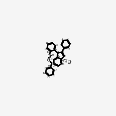 C1=C(c2ccccc2)C(c2cccc[c]2[Ti+2][O]Cc2ccccc2)c2ccccc21.[Cl-].[Cl-]